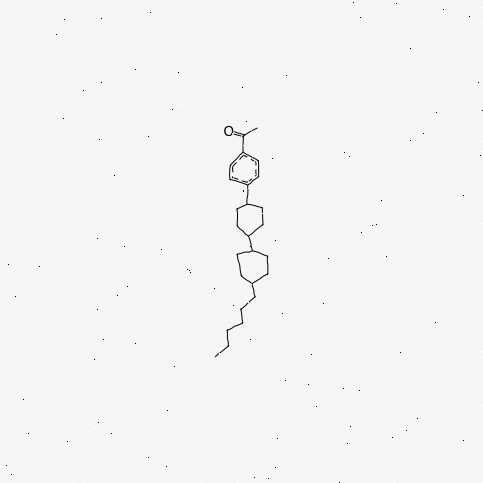 CCCCCCC1CCC(C2CCC(c3ccc(C(C)=O)cc3)CC2)CC1